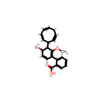 COC1=C(c2ccccc2C(=O)O)C=CC(Br)C1C1C#CC/C=C\C=C/1